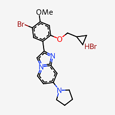 Br.COc1cc(OCC2CC2)c(-c2cn3ccc(N4CCCC4)cc3n2)cc1Br